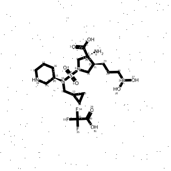 N[C@@]1(C(=O)O)CN(S(=O)(=O)N(CC2CC2)[C@@H]2CCCNC2)C[C@@H]1CCCB(O)O.O=C(O)C(F)(F)F